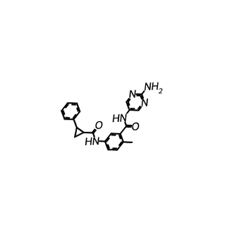 Cc1ccc(NC(=O)C2CC2c2ccccc2)cc1C(=O)Nc1cnc(N)nc1